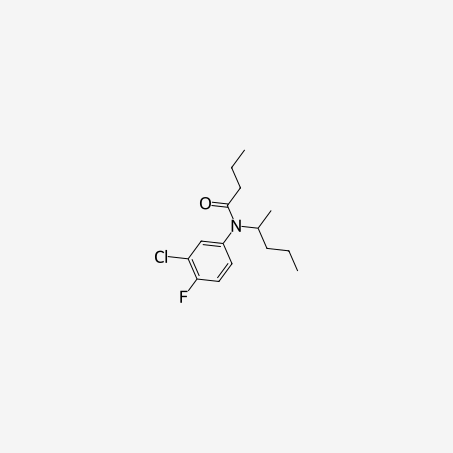 CCCC(=O)N(c1ccc(F)c(Cl)c1)C(C)CCC